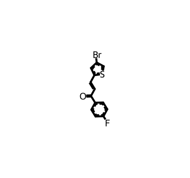 O=C(/C=C/c1cc(Br)cs1)c1ccc(F)cc1